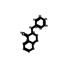 O=C1C2=CC=CCC2CCC1Cc1ccccc1